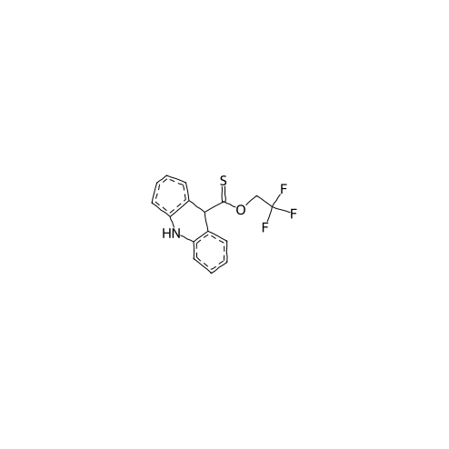 FC(F)(F)COC(=S)C1c2ccccc2Nc2ccccc21